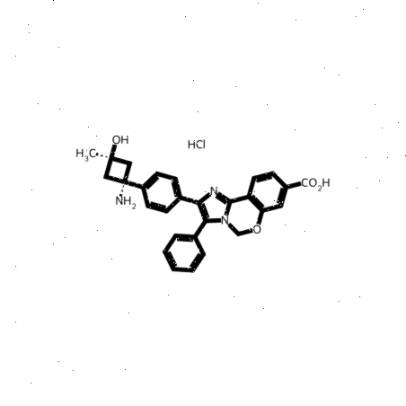 C[C@]1(O)C[C@@](N)(c2ccc(-c3nc4n(c3-c3ccccc3)COc3cc(C(=O)O)ccc3-4)cc2)C1.Cl